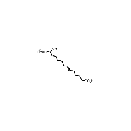 CCCCCC(O)C=CC=CCC=CCCCCC(=O)O